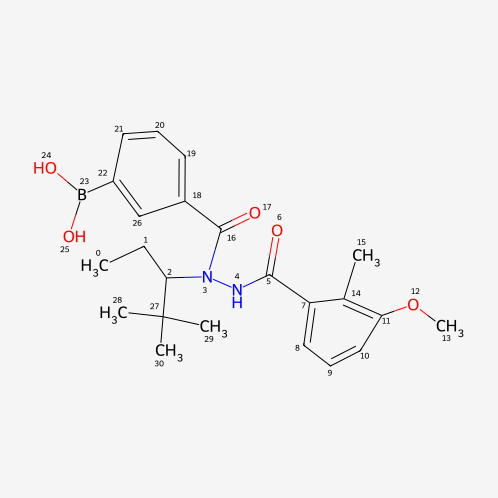 CCC(N(NC(=O)c1cccc(OC)c1C)C(=O)c1cccc(B(O)O)c1)C(C)(C)C